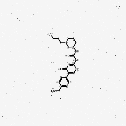 CCCCN1CCC[C@@H](NC(=O)Nc2nc(=O)c(-c3ccc(CN)cc3)c[nH]2)C1